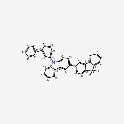 CC1(C)c2ccccc2-c2cc(-c3ccc4c(c3)c3ccccc3n4-c3cccc(-c4ccccc4)c3)ccc21